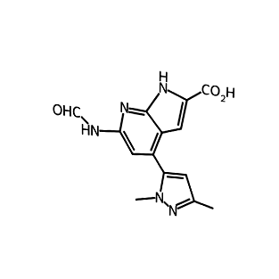 Cc1cc(-c2cc(NC=O)nc3[nH]c(C(=O)O)cc23)n(C)n1